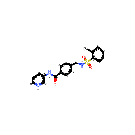 Cc1ccccc1S(=O)(=O)NCc1ccc(C(=O)Nc2cccnc2)cc1